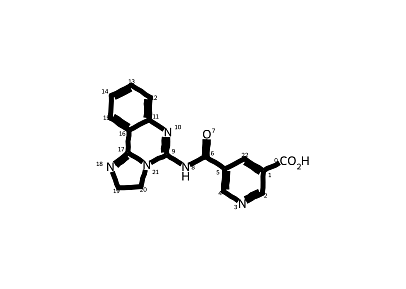 O=C(O)c1cncc(C(=O)NC2=Nc3ccccc3C3=NCCN23)c1